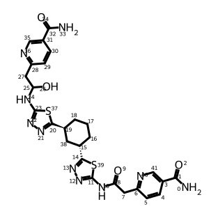 NC(=O)c1ccc(CC(=O)Nc2nnc([C@H]3CCC[C@H](c4nnc(NC(O)Cc5ccc(C(N)=O)cn5)s4)C3)s2)nc1